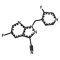 N#Cc1nn(Cc2ccncc2F)c2ncc(F)cc12